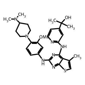 COc1cc(Nc2nc(Nc3cc(C(C)(C)O)ccn3)c3c(C)csc3n2)ccc1N1CCC(N(C)C)CC1